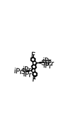 CC(C)[Si](C#CC1=c2cc3c(cc2-c2ccc(F)cc21)=C(C#C[Si](C(C)C)(C(C)C)C(C)C)c1cc(F)ccc1-3)(C(C)C)C(C)C